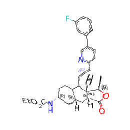 CCOC(=O)N[C@@H]1CCC2C(/C=C/c3ccc(-c4cccc(F)c4)cn3)[C@@H]3[C@@H](C)OC(=O)[C@@H]3C[C@@H]2C1